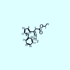 CCOC(=O)C[C@H](N)c1cccn1-c1ccccc1